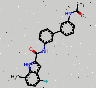 CC(=O)Nc1cccc(-c2cccc(NC(=O)c3cc4c(F)ccc(C)c4[nH]3)c2)c1